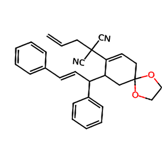 C=CCC(C#N)(C#N)C1=CCC2(CC1C(C=Cc1ccccc1)c1ccccc1)OCCO2